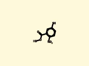 O=C(OS)c1cc(S)ccc1[N+](=O)[O-]